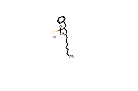 CCCCCCCCCC(Cc1ccccc1)C(C)(C)P.I